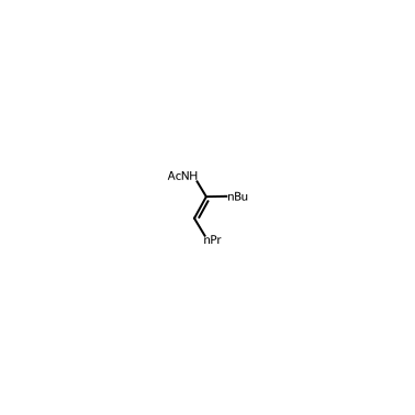 CCC/C=C(\CCCC)NC(C)=O